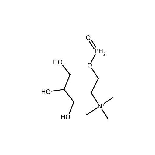 C[N+](C)(C)CCO[PH2]=O.OCC(O)CO